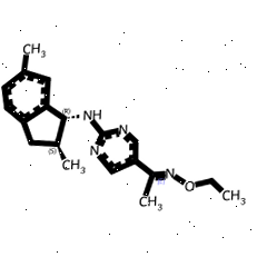 CCO/N=C(\C)c1cnc(N[C@H]2c3cc(C)ccc3C[C@@H]2C)nc1